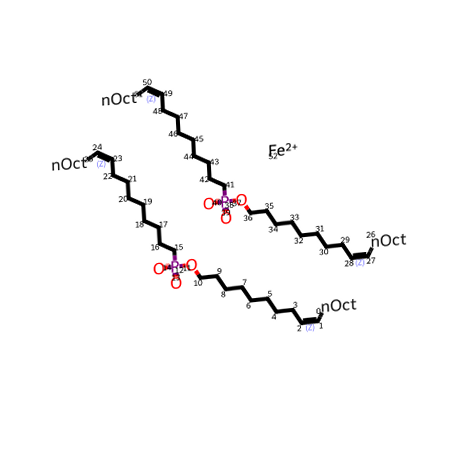 CCCCCCCC/C=C\CCCCCCCCOP(=O)([O-])CCCCCCCC/C=C\CCCCCCCC.CCCCCCCC/C=C\CCCCCCCCOP(=O)([O-])CCCCCCCC/C=C\CCCCCCCC.[Fe+2]